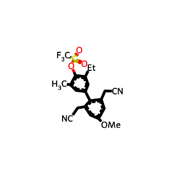 CCc1cc(-c2c(CC#N)cc(OC)cc2CC#N)cc(C)c1OS(=O)(=O)C(F)(F)F